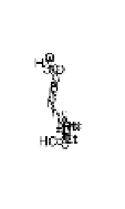 CCc1cccc2cc(O)cc(-c3ncc4c(N5CC6CCC(C5)N6)nc(OCC5(CN6CC(CN7CCC(N8CCN(c9ccc%10c(c9)CN([C@H]9CCC(=O)NC9=O)C%10=O)CC8)CC7)C6)CC5)nc4c3F)c12